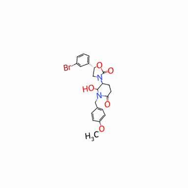 COc1ccc(CN2C(=O)CC[C@H](N3C[C@H](c4cccc(Br)c4)OC3=O)C2O)cc1